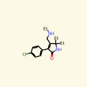 CCNCC1=C(c2ccc(Cl)cc2)C(=O)NC1(CC)CC